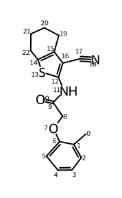 Cc1ccccc1OCC(=O)Nc1sc2c(c1C#N)CCCC2